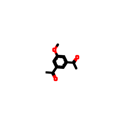 COc1cc(C(C)=O)cc(C(C)=O)c1